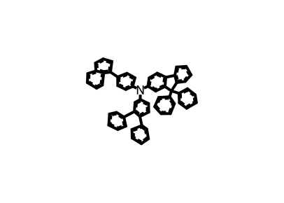 c1ccc(-c2ccc(N(c3ccc(-c4cccc5ccccc45)cc3)c3ccc4c(c3)C(c3ccccc3)(c3ccccc3)c3ccccc3-4)cc2-c2ccccc2)cc1